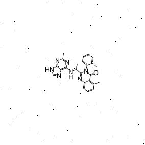 Cc1nc(NC(C)c2nc3cccc(C)c3c(=O)n2-c2ccccc2C)c2nc[nH]c2n1